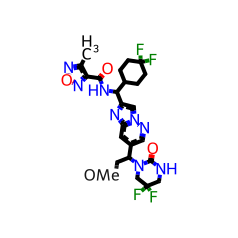 COCC(c1cnn2cc(C(NC(=O)c3nonc3C)C3CCC(F)(F)CC3)nc2c1)N1CC(F)(F)CNC1=O